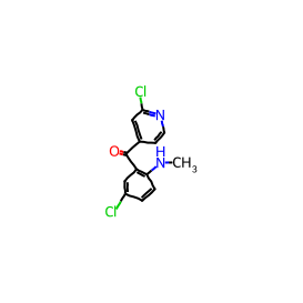 CNc1ccc(Cl)cc1C(=O)c1ccnc(Cl)c1